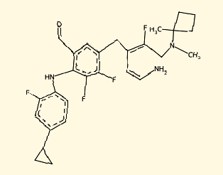 CN(C/C(F)=C(\C=C/N)Cc1cc(C=O)c(Nc2ccc(C3CC3)cc2F)c(F)c1F)C1(C)CCC1